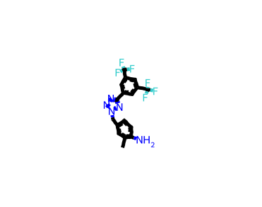 Cc1cc(Cn2nnc(-c3cc(C(F)(F)F)cc(C(F)(F)F)c3)n2)ccc1N